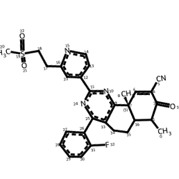 CC1C(=O)C(C#N)=C[C@@]2(C)c3nc(-c4ccnc(CCS(C)(=O)=O)c4)nc(-c4ccccc4F)c3CCC12